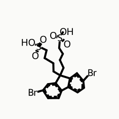 O=S(=O)(O)CCCCC1(CCCCS(=O)(=O)O)c2cc(Br)ccc2-c2ccc(Br)cc21